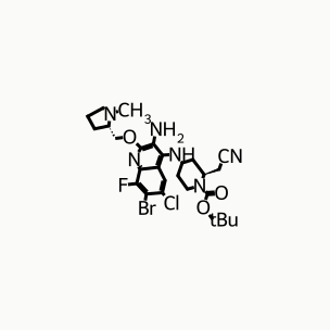 CN1CCC[C@H]1COc1nc2c(F)c(Br)c(Cl)cc2c(N[C@H]2CCN(C(=O)OC(C)(C)C)[C@H](CC#N)C2)c1N